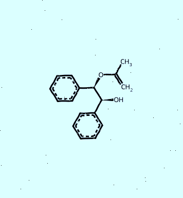 C=C(C)O[C@H](c1ccccc1)[C@@H](O)c1ccccc1